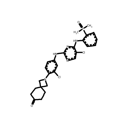 CP(C)(=O)c1ccccc1Nc1nc(Nc2ccc(N3CC4(CCC(=O)CC4)C3)c(Cl)c2)ncc1Cl